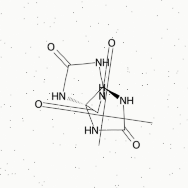 O=C1N[C@]23NC(=O)N[C@@]2(N1)C(=O)NC3=O